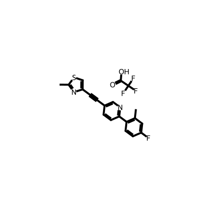 Cc1nc(C#Cc2ccc(-c3ccc(F)cc3C)nc2)cs1.O=C(O)C(F)(F)F